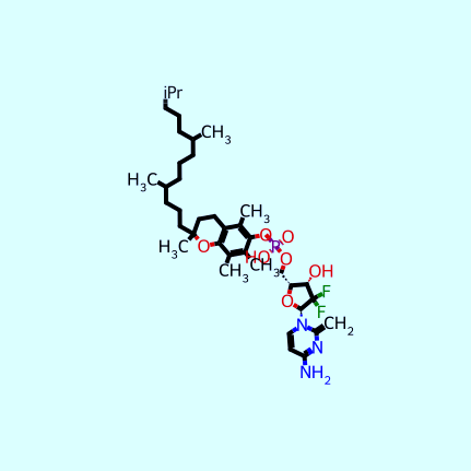 C=C1N=C(N)C=CN1[C@@H]1O[C@H](COP(=O)(O)Oc2c(C)c(C)c3c(c2C)CCC(C)(CCCC(C)CCCC(C)CCCC(C)C)O3)[C@H](O)C1(F)F